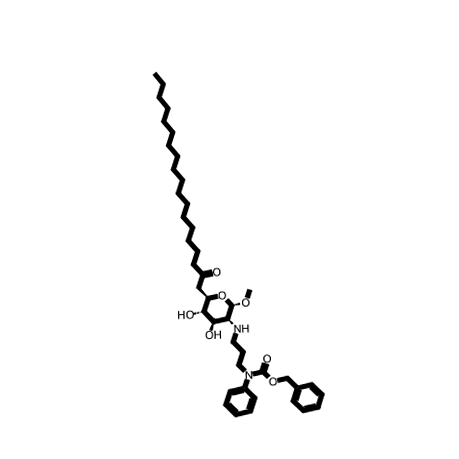 CCCCCCCCCCCCCCCCCC(=O)C[C@H]1O[C@H](OC)[C@H](NCCCN(C(=O)OCc2ccccc2)c2ccccc2)[C@@H](O)[C@@H]1O